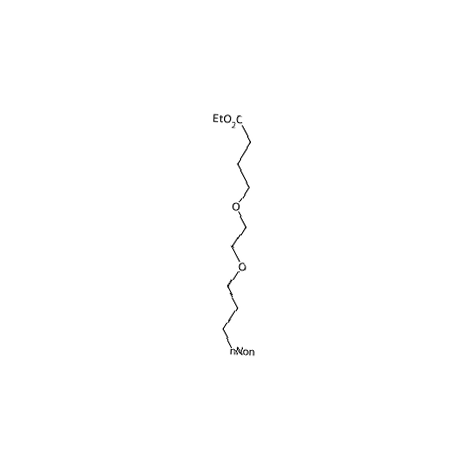 CCCCCCCCCCCCOCCOCCCC(=O)OCC